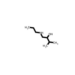 CCCNCC(O)C(C)C